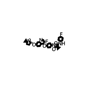 CN1[C@H](COc2ccc3c(Oc4ccc(NC(=O)C5(C(=O)Nc6ccc(F)cc6)CC5)cc4F)ccnc3c2)CCC12CC2